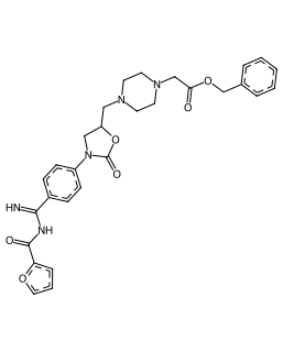 N=C(NC(=O)c1ccco1)c1ccc(N2CC(CN3CCN(CC(=O)OCc4ccccc4)CC3)OC2=O)cc1